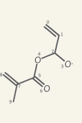 C=CC([O])OC(=O)C(=C)C